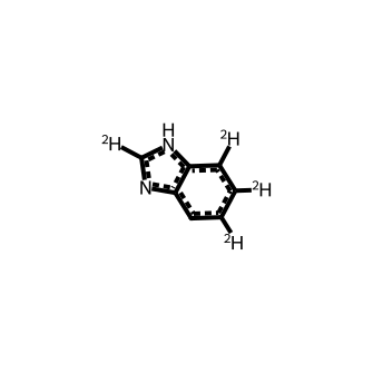 [2H]c1nc2cc([2H])c([2H])c([2H])c2[nH]1